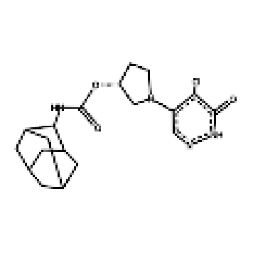 O=C(NC1C2CC3CC(C2)CC1C3)O[C@@H]1CCN(c2cn[nH]c(=O)c2Cl)C1